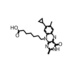 C=c1nc2c(c(=O)[nH]1)=Nc1cc(C)c(C3CC3)cc1N2CCCCCCC(=O)O